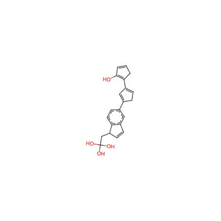 OC1=C(C2=CCC(c3ccc4c(c3)C=CC4CC(O)(O)O)=C2)CC=C1